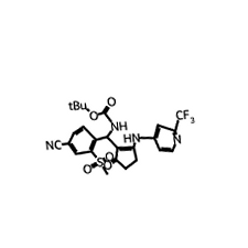 CC(C)(C)OC(=O)NC(C1=C(Nc2ccnc(C(F)(F)F)c2)CCC1=O)c1ccc(C#N)cc1S(C)(=O)=O